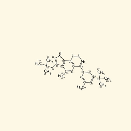 Cc1cc(-c2nccc3c2cc(C)c2c(CC(C)(C)C)csc23)cc(C(C)(C)C)c1